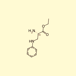 CCOC(=O)[C@@H](N)CNc1ccccc1